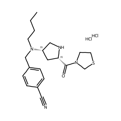 CCCCN(Cc1ccc(C#N)cc1)[C@@H]1CN[C@H](C(=O)N2CCSC2)C1.Cl.Cl